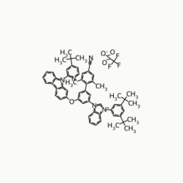 Cc1cc(C#N)cc(C)c1-c1cc(Oc2ccc3c4ccccc4n(-c4cc(C(C)(C)C)ccn4)c3c2)cc(-n2c[n+](-c3cc(C(C)(C)C)cc(C(C)(C)C)c3)c3ccccc32)c1.O=S(=O)([O-])C(F)(F)F